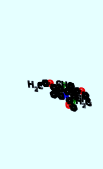 C=Cc1ccc(Oc2ccc(C3(c4ccc(F)c(C)c4)c4ccccc4-c4ccc(N(c5ccc6c(c5)C(c5ccc(Oc7ccc(C=C)cc7)cc5)(c5ccc(F)c(C)c5)c5ccccc5-6)c5ccc6c(c5)oc5ccccc56)cc43)cc2)cc1